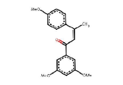 COc1ccc(/C(C)=C\C(=O)c2cc(OC)cc(OC)c2)cc1